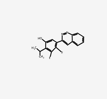 CC(C)c1c(O)cc(-c2cc3ccccc3nn2)c(F)c1F